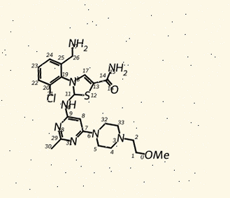 COCCN1CCN(c2cc(NC3SC(C(N)=O)=CN3c3c(Cl)cccc3CN)nc(C)n2)CC1